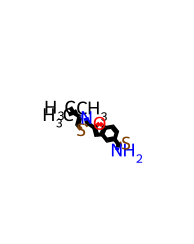 CC(C)(C)c1csc(-c2cc3cc(C(N)=S)ccc3o2)n1